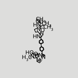 COC(=O)N[C@H](C(=O)N1CCCC1c1ncc(-c2ccc(-c3ccc(-c4cnc([C@@H]5CCCN5C(=O)CN(C)C(=O)O)[nH]4)cc3)cc2)[nH]1)C(C)C